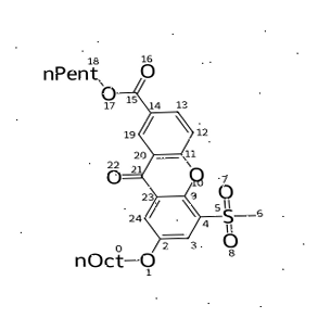 CCCCCCCCOc1cc(S(C)(=O)=O)c2oc3ccc(C(=O)OCCCCC)cc3c(=O)c2c1